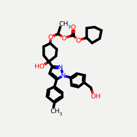 Cc1ccc(-c2cc(C3(O)CCC(OC(C)OC(=O)OC4CCCCC4)CC3)nn2-c2ccc(CO)cc2)cc1